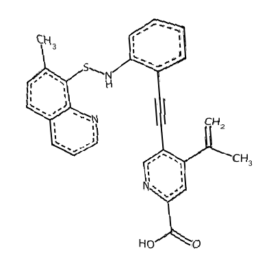 C=C(C)c1cc(C(=O)O)ncc1C#Cc1ccccc1NSc1c(C)ccc2cccnc12